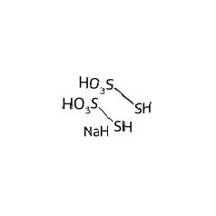 O=S(=O)(O)S.O=S(=O)(O)S.[NaH]